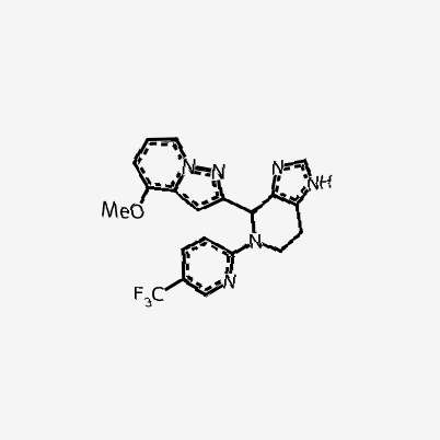 COc1cccn2nc(C3c4nc[nH]c4CCN3c3ccc(C(F)(F)F)cn3)cc12